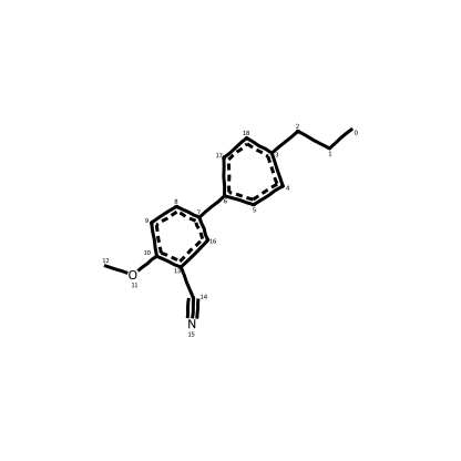 CCCc1ccc(-c2ccc(OC)c(C#N)c2)cc1